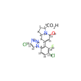 O=C(O)C1CCC2CC(c3c(-n4cc(Cl)nn4)ccc(Cl)c3F)=CC(=O)N21